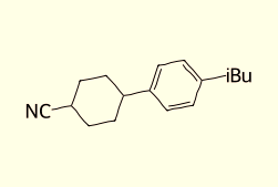 CCC(C)c1ccc(C2CCC(C#N)CC2)cc1